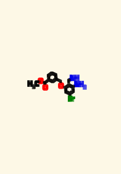 COC(=O)c1cccc(COc2cc(Br)cc(N)c2C=N)c1